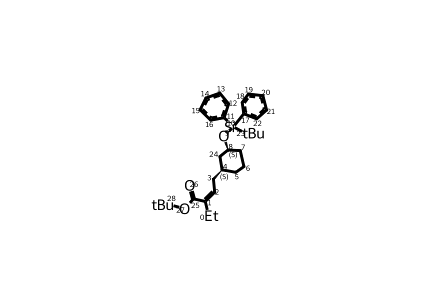 CCC(=CC[C@@H]1CCC[C@H](O[Si](c2ccccc2)(c2ccccc2)C(C)(C)C)C1)C(=O)OC(C)(C)C